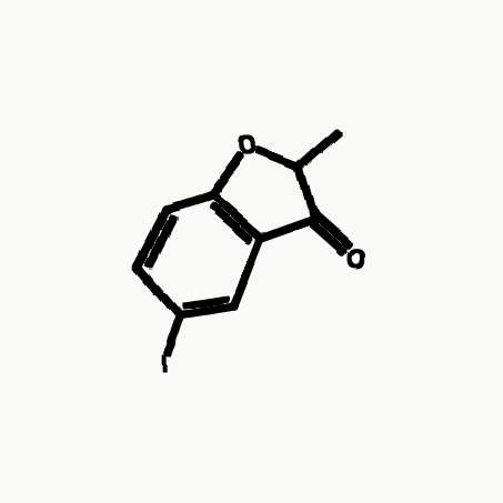 CC1Oc2ccc(I)cc2C1=O